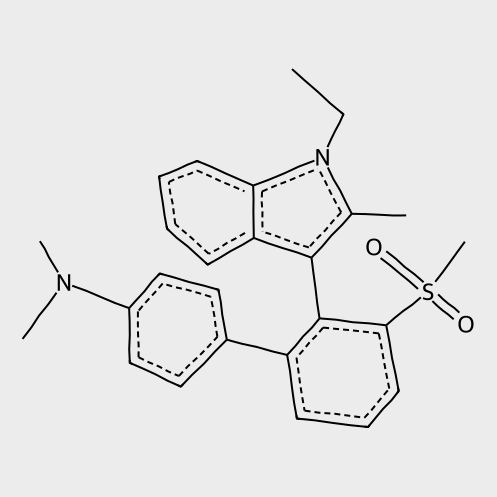 CCn1c(C)c(-c2c(-c3ccc(N(C)C)cc3)cccc2S(C)(=O)=O)c2ccccc21